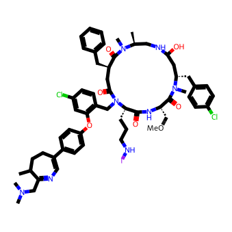 COC[C@@H]1NC(=O)[C@H](CCCNI)N(Cc2ccc(Cl)cc2Oc2ccc(C3=CN=C(CN(C)C)C(C)CC3)cc2)C(=O)C[C@@H](Cc2ccccc2)C(=O)N(C)[C@@H](C)CNC(O)C[C@H](Cc2ccc(Cl)cc2)N(C)C1=O